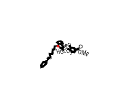 COC(=O)c1ccc(CSC(c2ccccc2CCCCCCCCc2ccccc2)C(C)(O)C(=O)O)c(OC)c1